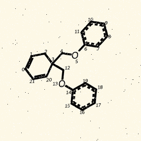 C1=CCC(COc2ccccc2)(COc2ccccc2)C=C1